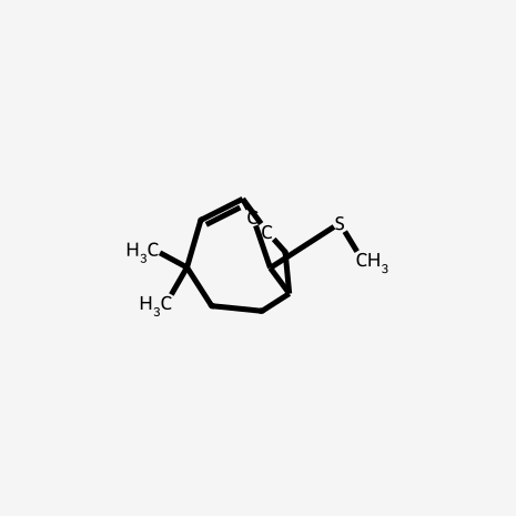 CSC1C/C2=C/C(C)(C)CCC1CC2